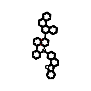 c1ccc(-c2ccccc2N(c2ccc(-c3cc4ccc5ccccc5c4c4ccccc34)cc2)c2ccc3ccc4c5ccccc5oc4c3c2)cc1